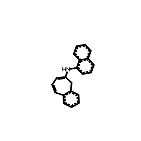 C1=Cc2ccccc2CC(Nc2cccc3ccccc23)=C1